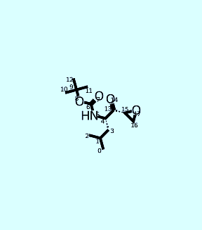 CC(C)C[C@H](NC(=O)OC(C)(C)C)C(=O)[C@H]1CO1